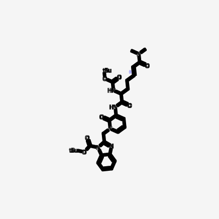 CN(C)C(=O)/C=C/CCC(NC(=O)OC(C)(C)C)C(=O)Nc1cccn(Cc2nc3ccccc3n2C(=O)OC(C)(C)C)c1=O